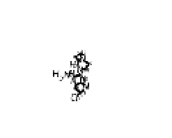 NNc1nc2cc(Cl)cnc2nc1N1CCN2CCCC2C1